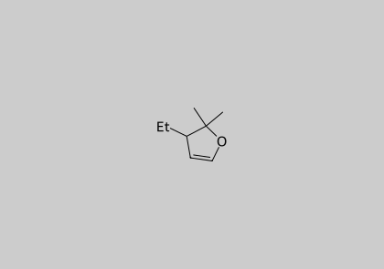 CCC1C=COC1(C)C